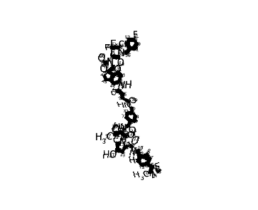 Cc1ncsc1-c1ccc(CNC(=O)[C@@H]2C[C@@H](O)CN2C(=O)[C@@H](NC(=O)c2ccc(CNC(=O)CCC(=O)Nc3ccc4c(c3)CC[C@@]43OC(=O)N(CC(=O)N(Cc4ccc(F)cc4)[C@@H](C)C(F)(F)F)C3=O)cc2)C(C)(C)C)cc1